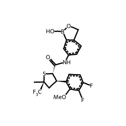 COc1c([C@H]2C[C@@](C)(C(F)(F)F)S[C@@H]2C(=O)Nc2ccc3c(c2)B(O)OC3)ccc(F)c1F